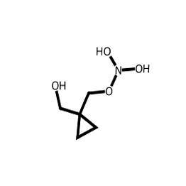 OCC1(CON(O)O)CC1